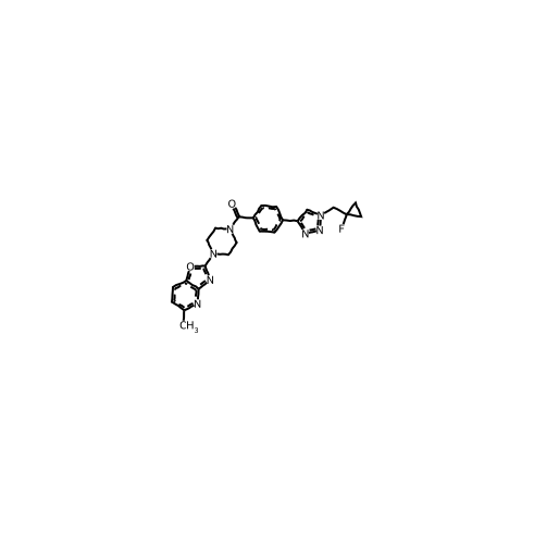 Cc1ccc2oc(N3CCN(C(=O)c4ccc(-c5cn(CC6(F)CC6)nn5)cc4)CC3)nc2n1